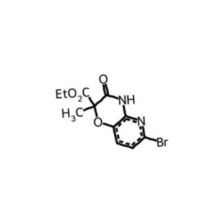 CCOC(=O)C1(C)Oc2ccc(Br)nc2NC1=O